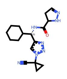 N#CC1(n2cc([C@@H](NC(=O)C3CC=NN3)C3CCCCC3)nn2)CC1